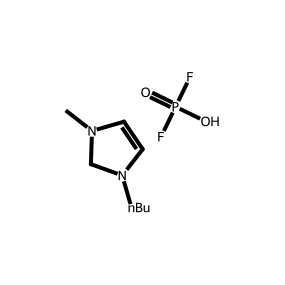 CCCCN1C=CN(C)C1.O=P(O)(F)F